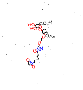 CC(=O)OCC1=C(OCCOCCNC(=O)CCCCCN2C(=O)C=CC2=O)C=C(O[C@@H]2O[C@H](C(=O)O)C[C@H](O)[C@H]2O)CC1